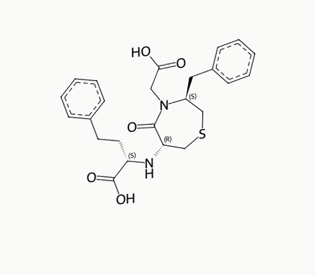 O=C(O)CN1C(=O)[C@@H](N[C@@H](CCc2ccccc2)C(=O)O)CSC[C@@H]1Cc1ccccc1